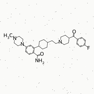 CN1CCN(c2ccc(C(N)=O)c(C3CCC(CCN4CCC(C(=O)c5ccc(F)cc5)CC4)CC3)c2)CC1